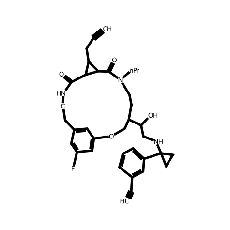 C#CCC1C2C(=O)NCCc3cc(F)cc(c3)OCC(C(O)CNC3(c4cccc(C#C)c4)CC3)CCN(CCC)C(=O)C12